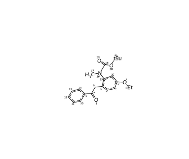 CCOc1ccc(CC(=O)c2ccccc2)c(N(C)C(=O)OC(C)(C)C)c1